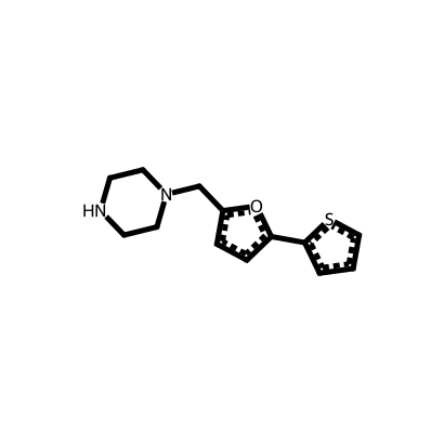 c1csc(-c2ccc(CN3CCNCC3)o2)c1